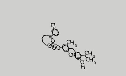 Cc1cc(OCP2(=O)OCCCCC[C@@H](c3cccc(Cl)c3)O2)cc(C)c1Cc1ccc(O)c(C(C)C)c1